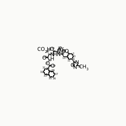 COc1ccc(-c2nc(C)no2)cc1CC(=O)N[C@H](C(=O)N[C@@H](CC(=O)O)C(=O)COC(=O)c1cccc2ccccc12)C(C)C